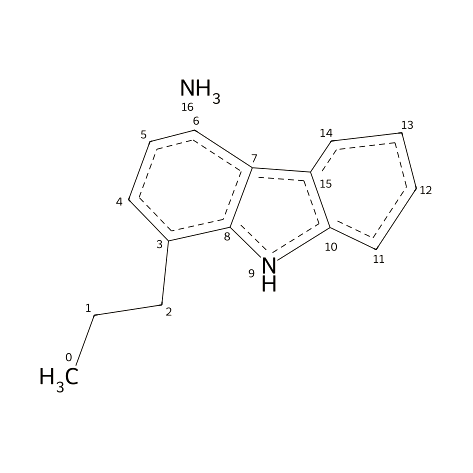 CCCc1cccc2c1[nH]c1ccccc12.N